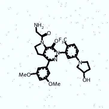 COc1cc(OC)cc(-c2nn(-c3cc(N4CCC(O)C4)ccc3C(F)(F)F)c(=O)c3c2CCN3C(=O)CN)c1